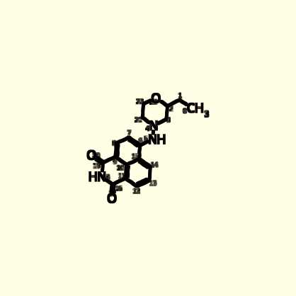 CCC1CN(Nc2ccc3c4c(cccc24)C(=O)NC3=O)CCO1